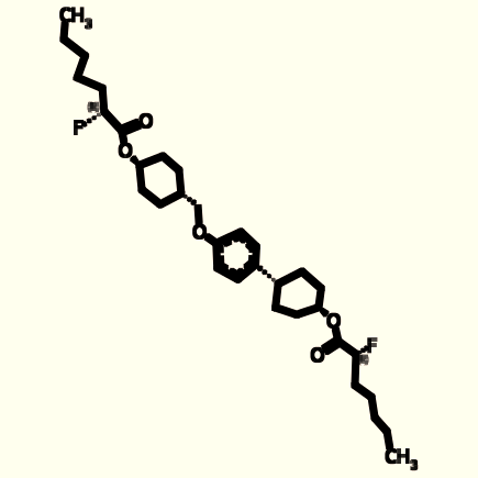 CCCCC[C@@H](F)C(=O)O[C@H]1CC[C@H](COc2ccc([C@H]3CC[C@H](OC(=O)[C@H](F)CCCCC)CC3)cc2)CC1